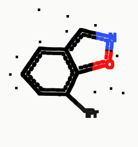 CC(C)c1cccc2cnoc12